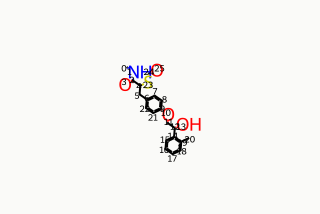 CNC(=O)C(Cc1ccc(OCC(O)c2ccccc2C)cc1)SC=O